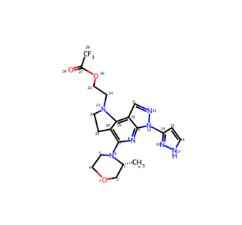 C[C@@H]1COCCN1c1nc2c(cnn2-c2cc[nH]n2)c2c1CCN2CCOC(=O)C(F)(F)F